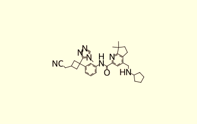 Cn1cnnc1C1(c2cccc(NC(=O)c3cc(CNC4CCCC4)c4c(n3)C(C)(C)CC4)c2)CC(CC#N)C1